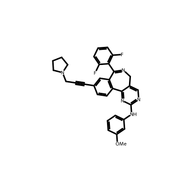 COc1cccc(Nc2ncc3c(n2)-c2ccc(C#CCN4CCCC4)cc2C(c2c(F)cccc2F)=NC3)c1